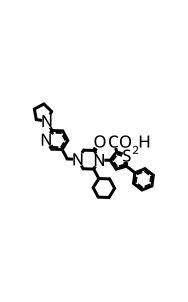 O=C(O)c1sc(-c2ccccc2)cc1N1C(=O)CN(Cc2ccc(N3CCCC3)nc2)CC1C1CCCCC1